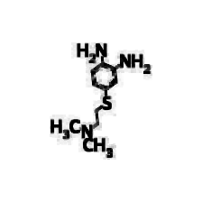 CN(C)CCSc1ccc(N)c(N)c1